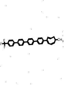 CC1\C=C/C=C(c2ccc(-c3ccc(-c4ccc(-c5ccc(C(F)(F)F)cc5)cc4)cc3)cc2)\C=C\C1